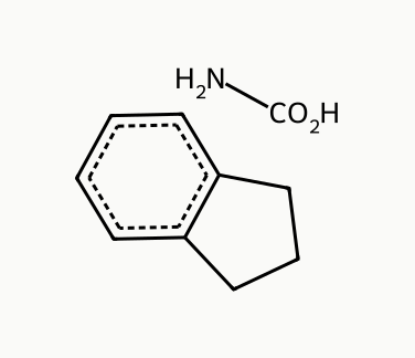 NC(=O)O.c1ccc2c(c1)CCC2